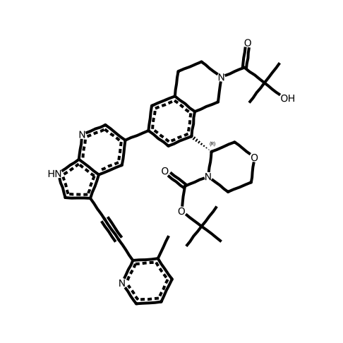 Cc1cccnc1C#Cc1c[nH]c2ncc(-c3cc4c(c([C@@H]5COCCN5C(=O)OC(C)(C)C)c3)CN(C(=O)C(C)(C)O)CC4)cc12